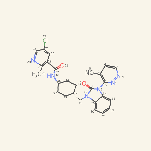 N#Cc1ccnnc1-n1c(=O)n(C[C@H]2CC[C@H](NC(=O)c3cc(Cl)cnc3C(F)(F)F)CC2)c2ccccc21